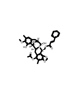 COc1c(C)cc2c(c1O)[C@@H]1N[C@H](C2)[C@H](O)N2[C@@H](COC(=O)/C=C/c3ccccc3)c3c(c(OC(C)=O)c(C)c4c3OCO4)C[C@@H]12